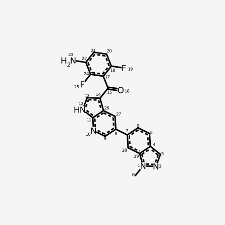 Cn1ncc2ccc(-c3cnc4[nH]cc(C(=O)c5c(F)ccc(N)c5F)c4c3)cc21